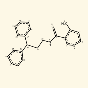 Cc1ccncc1C(=O)NCCC(c1ccccc1)c1ccccc1